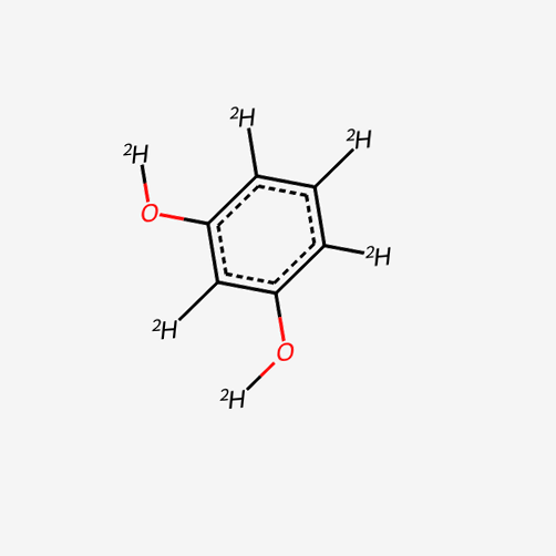 [2H]Oc1c([2H])c([2H])c([2H])c(O[2H])c1[2H]